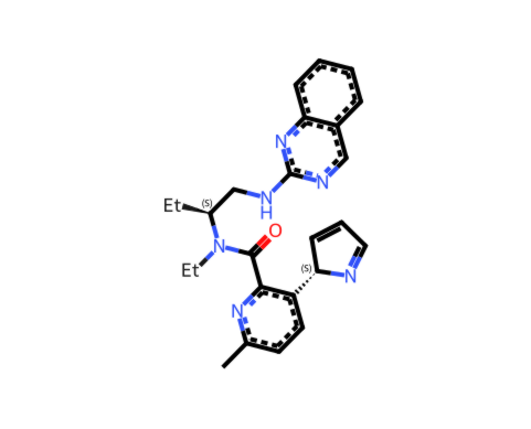 CC[C@@H](CNc1ncc2ccccc2n1)N(CC)C(=O)c1nc(C)ccc1[C@@H]1C=CC=N1